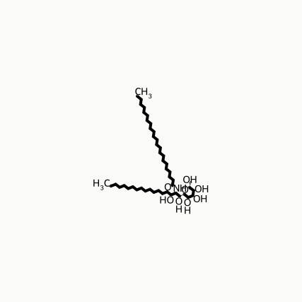 CCCCCCCCCCCCCCCCCCCCCCCC(=O)NC(C(O)CCCCCCCCCCCCCCC)C(O)[C@@H]1O[C@H](CO)[C@@H](O)[C@H](O)[C@H]1O